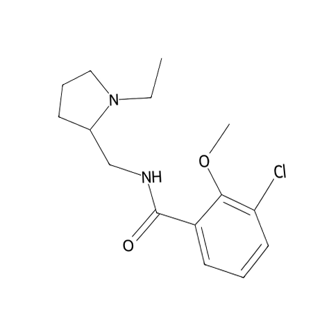 CCN1CCCC1CNC(=O)c1cccc(Cl)c1OC